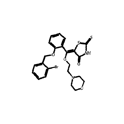 O=C1NC(=S)SC1=C(OCCN1CCOCC1)c1ccccc1OCc1ccccc1Br